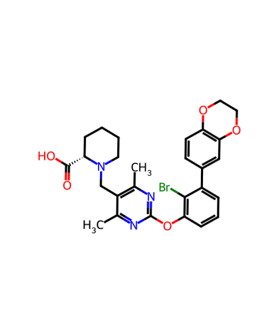 Cc1nc(Oc2cccc(-c3ccc4c(c3)OCCO4)c2Br)nc(C)c1CN1CCCC[C@H]1C(=O)O